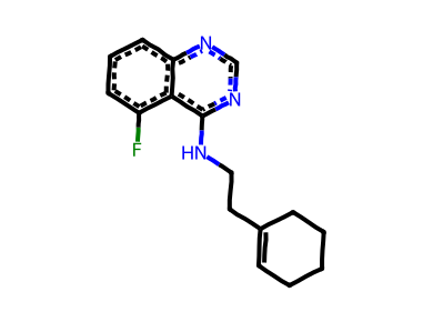 Fc1cccc2ncnc(NCCC3=CCCCC3)c12